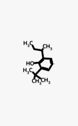 CCC(C)c1c[c]cc(C(C)(C)C)c1O